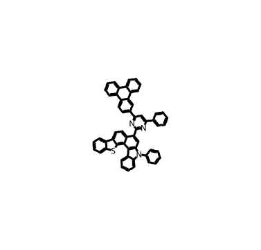 c1ccc(-c2cc(-c3ccc4c5ccccc5c5ccccc5c4c3)nc(-c3cc4c(c5ccccc5n4-c4ccccc4)c4c3ccc3c5ccccc5sc34)n2)cc1